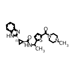 CC(NC(=O)[C@H]1C[C@@H]1c1nc2ccccc2[nH]1)c1ccc(C(=O)N2CCN(C)CC2)s1